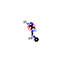 Cc1oc2ncn(CC(C)C)c(=O)c2c1C(=O)NCCCN(Cc1ccccc1)C(C)C